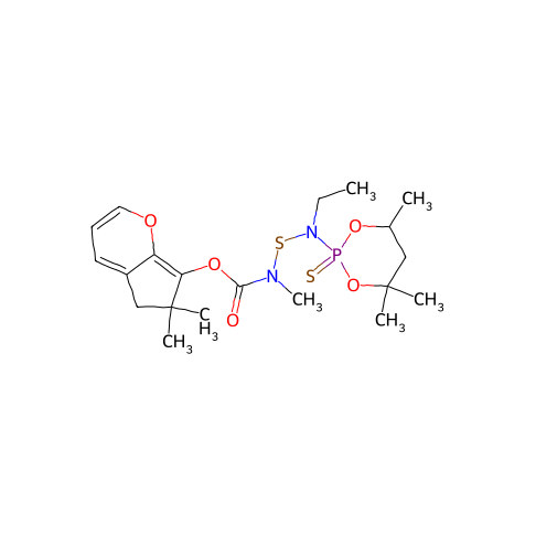 CCN(SN(C)C(=O)OC1=C2OC=CC=C2CC1(C)C)P1(=S)OC(C)CC(C)(C)O1